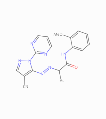 COc1ccccc1NC(=O)C(N=Nc1c(C#N)cnn1-c1ncccn1)C(C)=O